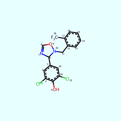 Oc1c(Cl)cc(C2N=CON2Cc2ccccc2C(F)(F)F)cc1Cl